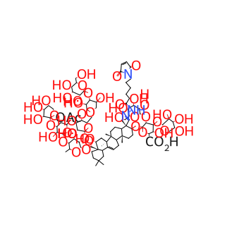 CC(=O)OC1C(C)OC(OC2C(C)OC(OC(=O)[C@]34CCC(C)(C)CC3C3=CCC5[C@@]6(C)CC[C@H](OC7OC(C(=O)O)C(O)C(OC8OCC(O)C(O)C8O)C7OC7OC(CO)C(O)C(O)C7O)[C@@](C)(/C=N/NC(=O)CCCCCN7C(=O)C=CC7=O)C6CC[C@@]5(C)[C@]3(C)C[C@H]4O)C(OC3OC(C)C(OC4OCC(O)C(OC5OC(CO)C(O)C(O)C5O)C4O)C(O)C3O)C2O)C(O)C1OC1OCC(O)C(O)C1O